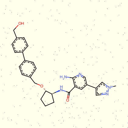 Cn1cc(-c2cnc(N)c(C(=O)N[C@H]3CCC[C@@H]3OCc3ccc(-c4ccc(CO)cc4)cc3)c2)cn1